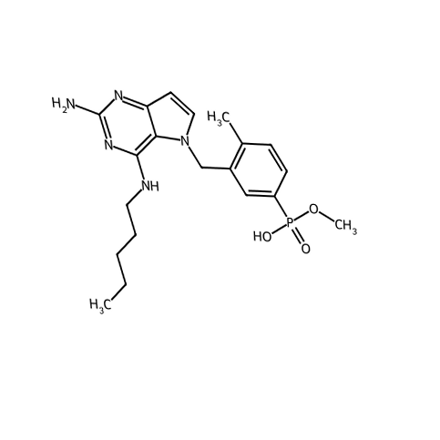 CCCCCNc1nc(N)nc2ccn(Cc3cc(P(=O)(O)OC)ccc3C)c12